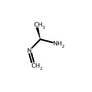 C=N[C@@H](C)N